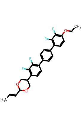 C/C=C/C1OCC(c2ccc(-c3ccc(-c4ccc(OCC)c(F)c4F)cc3)c(F)c2F)CO1